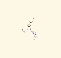 CCCOc1ccc(-c2ccc3c(c2)C=C(C(=O)Nc2ccc(CN(C)C4CCOCC4)cc2)CCN3Cc2ccccc2OC)cc1